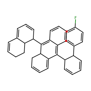 Fc1ccc(C2C=CC=CC2C2=c3ccccc3=C(C3C=CC=C4C=CCCC43)C3CC=CC=C23)cc1